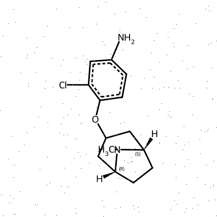 CN1[C@@H]2CC[C@H]1CC(Oc1ccc(N)cc1Cl)C2